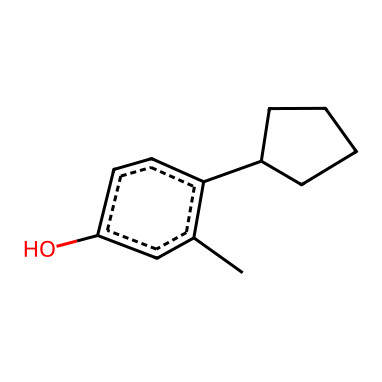 Cc1cc(O)ccc1C1CCCC1